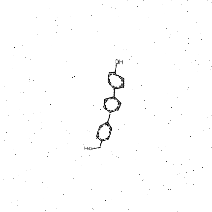 OCc1ccc(-c2ccc(-c3ccc(O)cc3)cc2)cc1